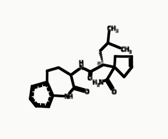 CC(C)C[C@@H](C(=O)NC1CCc2ccccc2NC1=O)C1(C(N)=O)CC=CC1